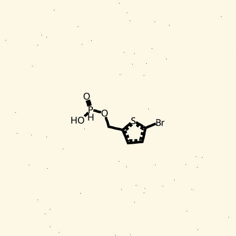 O=[PH](O)OCc1ccc(Br)s1